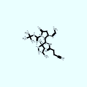 C#CCCC(=O)N[C@H]([C@H]1[C@H](/C=C\C)CC(=O)N1C(=O)OC(C)(C)C)[C@](C)(CCC)OC